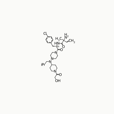 C=CC(C)(N)C(=O)N[C@H](Cc1ccc(Cl)cc1)C(=O)N1CCN(N(CC(C)C)C2CCN(C(=O)CO)CC2)CC1